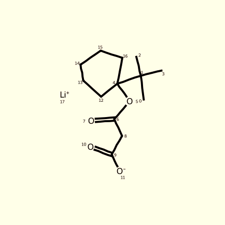 CC(C)(C)C1(OC(=O)CC(=O)[O-])CCCCC1.[Li+]